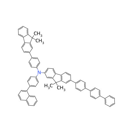 CC1(C)c2ccccc2-c2ccc(-c3ccc(N(c4ccc(-c5cccc6ccccc56)cc4)c4ccc5c(c4)C(C)(C)c4cc(-c6ccc(-c7ccc(-c8ccccc8)cc7)cc6)ccc4-5)cc3)cc21